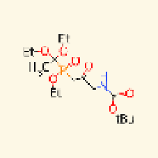 CCOC(C)(OCC)P(=O)(CC(=O)CNC(=O)OC(C)(C)C)OCC